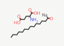 CCCCCCCCCCCCC[C](=O)[Na].N[C@@H](CCC(=O)O)C(=O)O